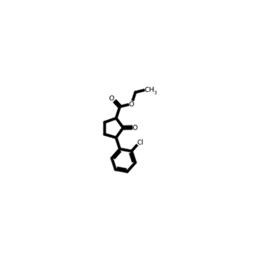 CCOC(=O)C1CCC(c2ccccc2Cl)C1=O